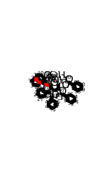 O=C(OC[C@H]1O[C@](Cc2ccccc2)(OP(=O)(O)O)[C@@](Cc2ccccc2)(OC(=O)c2ccccc2)[C@H](OC(=O)c2ccccc2)[C@@H]1OC(=O)c1ccccc1)c1ccccc1